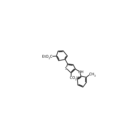 CCOC(=O)c1cccc(-c2cc(Nc3ccccc3C)c(C(=O)O)s2)c1